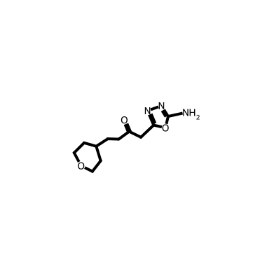 Nc1nnc(CC(=O)CCC2CCOCC2)o1